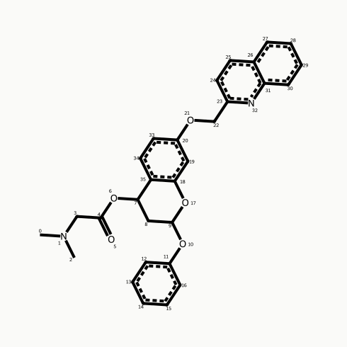 CN(C)CC(=O)OC1CC(Oc2ccccc2)Oc2cc(OCc3ccc4ccccc4n3)ccc21